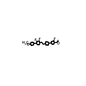 COc1ccc(-c2ccc(CCc3ccc(-c4ccc(C5CO5)c(F)c4)cc3)c(F)c2F)cc1